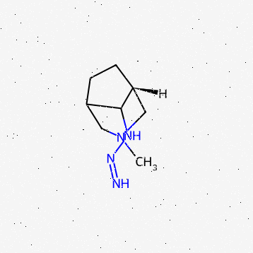 CN1CC2CC[C@H](C1)C2NN=N